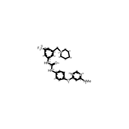 CNc1cc(Oc2ccc(NC(=O)Nc3cc(CN4CCCCC4)cc(C(F)(F)F)c3)cc2)ncn1